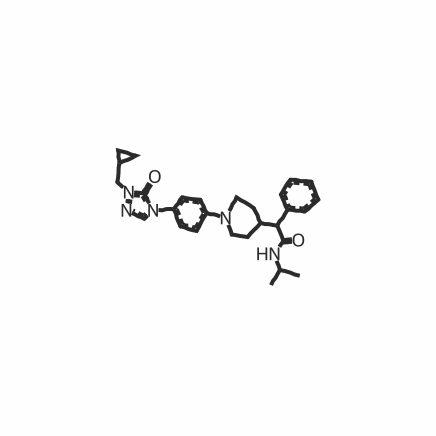 CC(C)NC(=O)C(c1ccccc1)C1CCN(c2ccc(-n3cnn(CC4CC4)c3=O)cc2)CC1